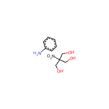 Nc1ccccc1.O=[N+]([O-])C(CO)(CO)CO